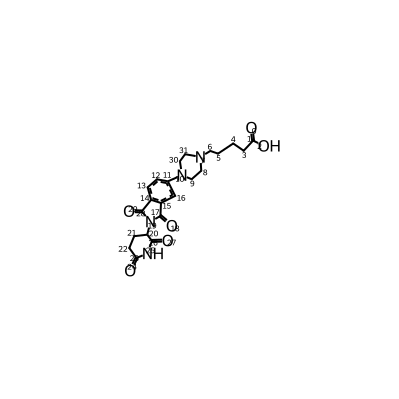 O=C(O)CCCCN1CCN(c2ccc3c(c2)C(=O)N(C2CCC(=O)NC2=O)C3=O)CC1